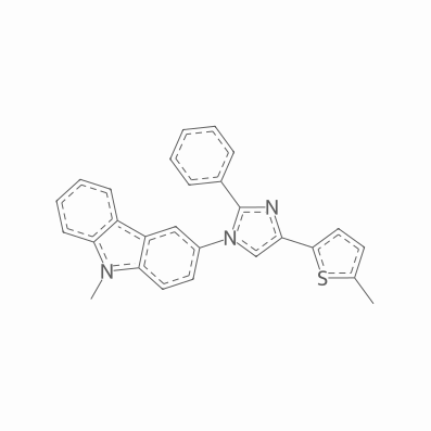 Cc1ccc(-c2cn(-c3ccc4c(c3)c3ccccc3n4C)c(-c3ccccc3)n2)s1